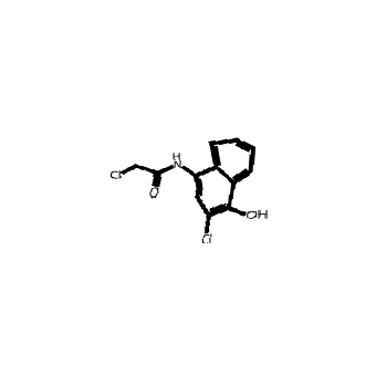 O=C(CCl)Nc1cc(Cl)c(O)c2ccccc12